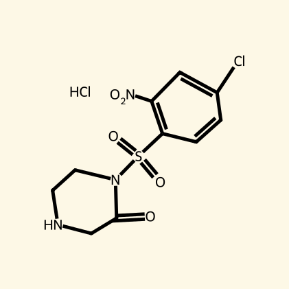 Cl.O=C1CNCCN1S(=O)(=O)c1ccc(Cl)cc1[N+](=O)[O-]